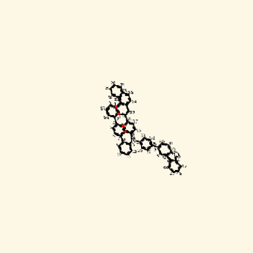 c1ccc(-c2ccc(-c3ccccc3N(c3ccc(-c4ccc5c(ccc6ccccc65)c4)cc3)c3ccc(-c4ccc5oc6ccccc6c5c4)cc3)cc2)cc1